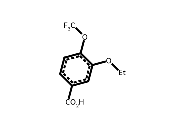 CCOc1cc(C(=O)O)ccc1OC(F)(F)F